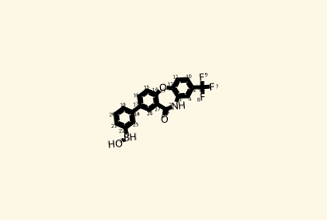 O=C1Nc2cc(C(F)(F)F)ccc2Oc2ccc(-c3cccc(BO)c3)cc21